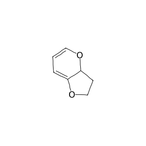 C1=COC2CCOC2=C1